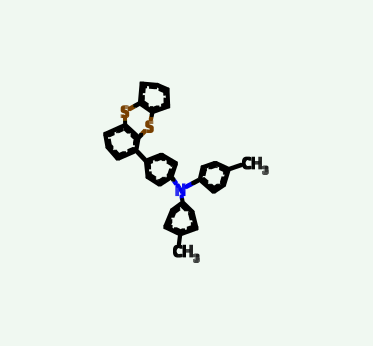 Cc1ccc(N(c2ccc(C)cc2)c2ccc(-c3cccc4c3Sc3ccccc3S4)cc2)cc1